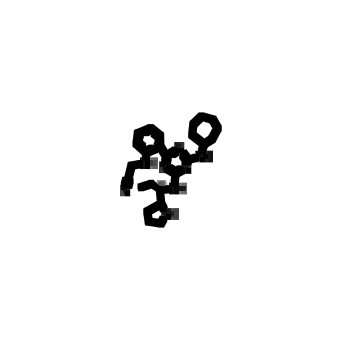 CC[C@@H](Nc1nc(NC2CCCCCC2)nc(-c2ccccc2NCC#N)n1)C1CCCN1